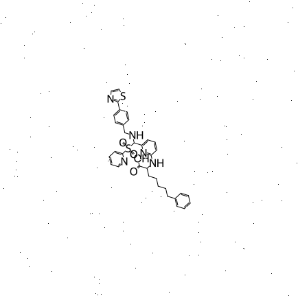 O=C(O)C(CCCCCc1ccccc1)Nc1cccc(C(NCc2ccc(-c3nccs3)cc2)S(=O)(=O)c2ccccn2)n1